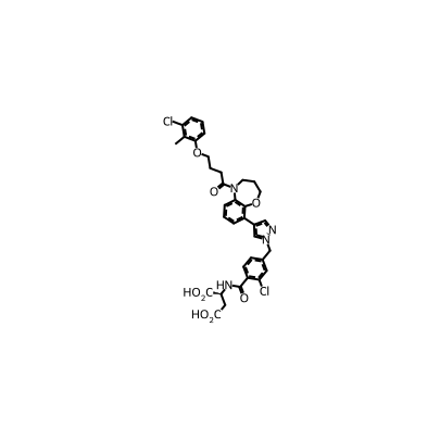 Cc1c(Cl)cccc1OCCCC(=O)N1CCCOc2c(-c3cnn(Cc4ccc(C(=O)N[C@@H](CC(=O)O)C(=O)O)c(Cl)c4)c3)cccc21